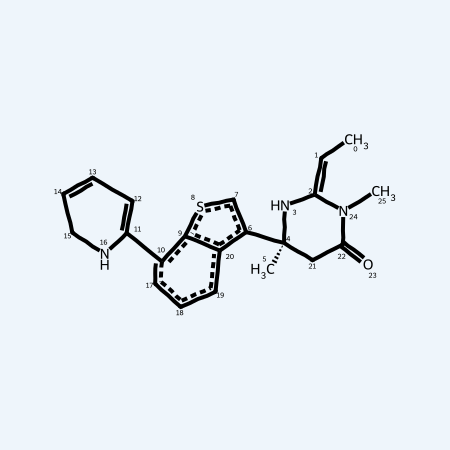 CC=C1N[C@](C)(c2csc3c(C4=CC=CCN4)cccc23)CC(=O)N1C